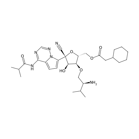 CC(C)C(=O)Nc1ncnn2c([C@]3(C#N)O[C@H](COC(=O)CC4CCCCC4)[C@@H](OC[C@@H](N)C(C)C)[C@H]3O)ccc12